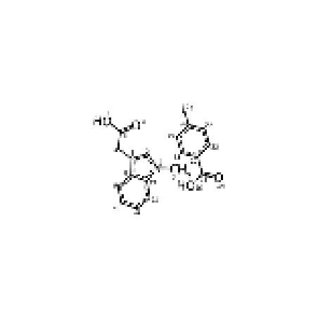 Cn1cc(CC(=O)O)c2ccccc21.O=C(O)c1ccc(I)cc1